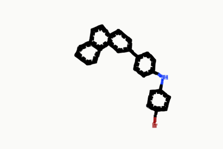 Brc1ccc(Nc2ccc(-c3ccc4ccc5ccccc5c4c3)cc2)cc1